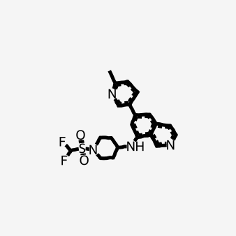 Cc1ccc(-c2cc(NC3CCN(S(=O)(=O)C(F)F)CC3)c3cnccc3c2)cn1